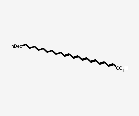 CCCCCCCCCCCCCCCCCCCC=CC=CC=CC=CC=CC=CC(=O)O